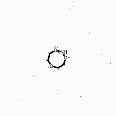 C1CONOCCO1